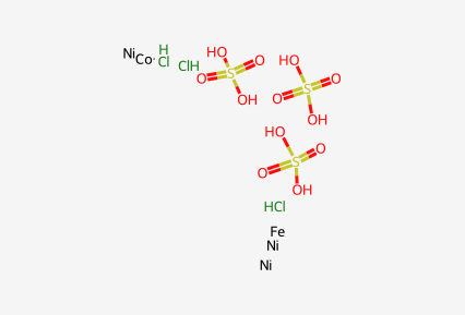 Cl.Cl.Cl.O=S(=O)(O)O.O=S(=O)(O)O.O=S(=O)(O)O.[Co].[Fe].[Ni].[Ni].[Ni]